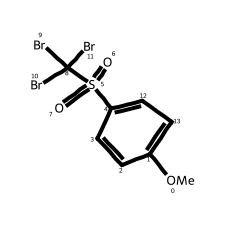 COc1ccc(S(=O)(=O)C(Br)(Br)Br)cc1